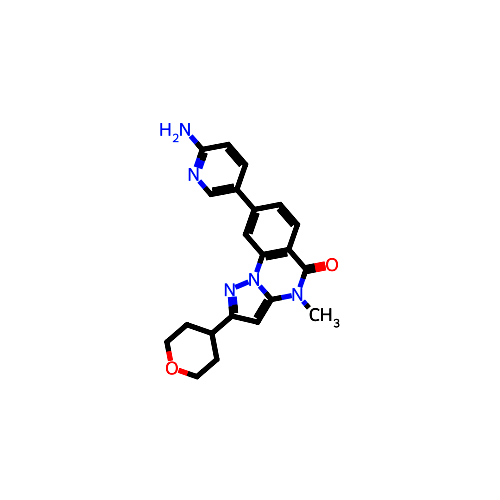 Cn1c(=O)c2ccc(-c3ccc(N)nc3)cc2n2nc(C3CCOCC3)cc12